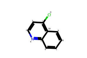 Clc1ccnc2[c]cccc12